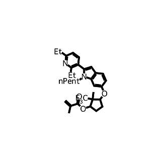 C=C(C)C(=O)OC1CCC(Oc2ccc3cc(-c4ccc(CC)nc4CC)n(CCCCC)c3c2)C1(C)C(F)(F)F